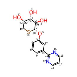 O[C@@H]1[C@@H](O)[C@H](Oc2cccc(-c3ncccn3)c2)SC[C@H]1O